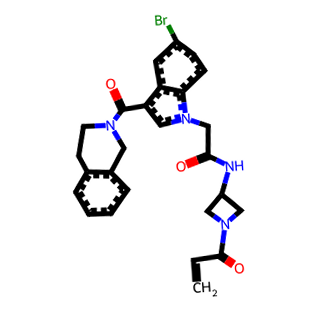 C=CC(=O)N1CC(NC(=O)Cn2cc(C(=O)N3CCc4ccccc4C3)c3cc(Br)ccc32)C1